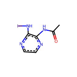 CC(=O)Nc1nccnc1NI